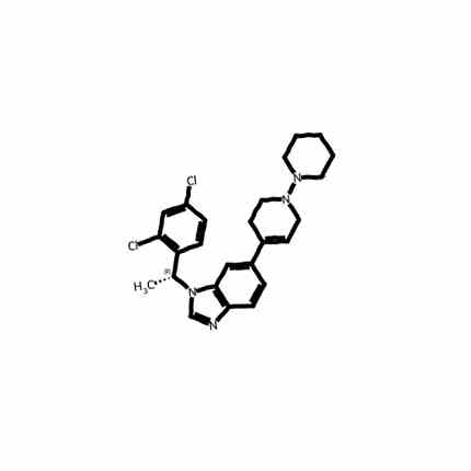 C[C@H](c1ccc(Cl)cc1Cl)n1cnc2ccc(C3=CCN(N4[CH]CCCC4)CC3)cc21